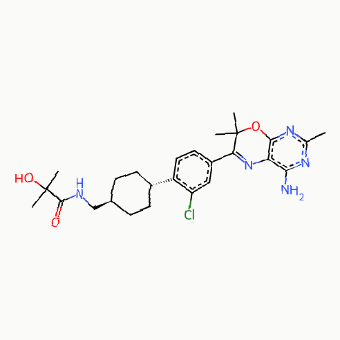 Cc1nc(N)c2c(n1)OC(C)(C)C(c1ccc([C@H]3CC[C@H](CNC(=O)C(C)(C)O)CC3)c(Cl)c1)=N2